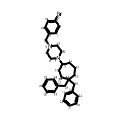 Brc1ccc(CN2CCN(C3CCCC(Cc4ccccc4)(Cc4ccccc4)CC3)CC2)cc1